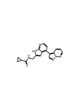 O=C(NCc1cc2c(-c3cnn4ncccc34)ccnc2[nH]1)C1CC1